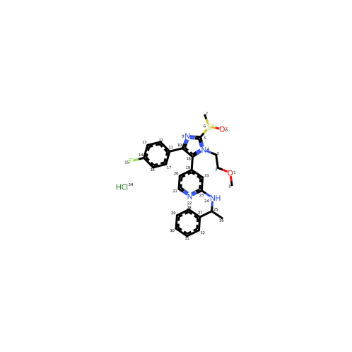 COCCn1c([S+](C)[O-])nc(-c2ccc(F)cc2)c1-c1ccnc(NC(C)c2ccccc2)c1.Cl